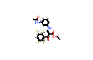 CCOC(=O)C(=CNc1cccc(NC(C)=O)c1)C(=O)c1c(F)c(F)cc(F)c1F